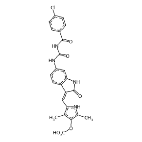 Cc1[nH]c(/C=C2\C(=O)Nc3cc(NC(=O)NC(=O)c4ccc(Cl)cc4)ccc32)c(C)c1OC(=O)O